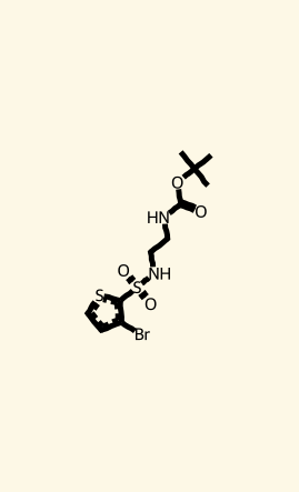 CC(C)(C)OC(=O)NCCNS(=O)(=O)c1sccc1Br